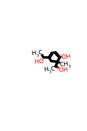 CC(O)C1=CC=C(O)C(C)(C(C)O)C1